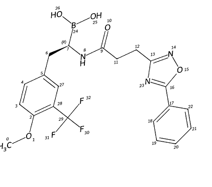 COc1ccc(C[C@H](NC(=O)CCc2noc(-c3ccccc3)n2)B(O)O)cc1C(F)(F)F